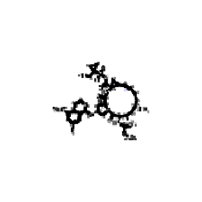 COc1cc(F)cc2c(O[C@@H]3C[C@H]4C(=O)N[C@]5(C(=O)NS(=O)(=O)C6(CF)CC6)CC5/C=C\CC[C@H](C)C[C@@H](C)[C@H](NC(=O)OC(C)(C)C)C(=O)N4C3)nccc12